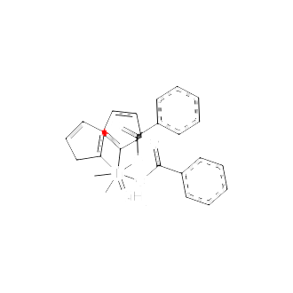 [CH3][Ti]([CH3])(=[SiH2])([O]C(=O)c1ccccc1)([O]C(=O)c1ccccc1)([C]1=CC=CC1)[C]1=CC=CC1